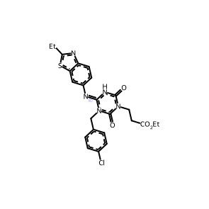 CCOC(=O)CCn1c(=O)[nH]/c(=N\c2ccc3nc(CC)sc3c2)n(Cc2ccc(Cl)cc2)c1=O